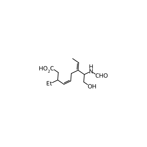 C/C=C(\C/C=C\C(CC)CC(=O)O)C(CO)NC=O